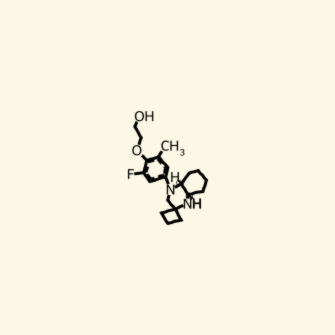 Cc1cc(N2CC3(CCC3)N[C@H]3CCCC[C@@H]32)cc(F)c1OCCO